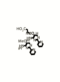 COc1cnc(-c2ccccn2)nc1NC(C)C.COc1cnc(-c2ccccn2)nc1NC(C)C.O=C(O)CCC(=O)O